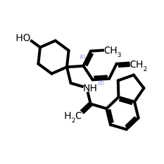 C=C/C=C\C(=C/C)C1(CNC(=C)c2cccc3c2CCC3)CCC(O)CC1